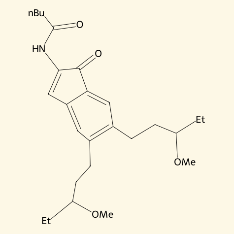 CCCCC(=O)NC1=Cc2cc(CCC(CC)OC)c(CCC(CC)OC)cc2C1=O